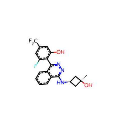 C[C@]1(O)C[C@@H](Nc2nnc(-c3c(O)cc(C(F)(F)F)cc3F)c3ccccc23)C1